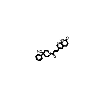 O=C1CCc2cc(C=CC(=O)N3CCC(O)(c4ccccc4)CC3)cnc2N1